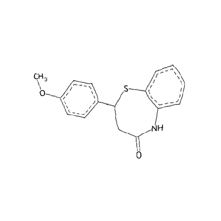 COc1ccc(C2CC(=O)Nc3ccccc3S2)cc1